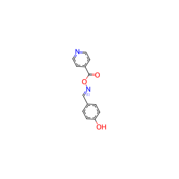 O=C(O/N=C/c1ccc(O)cc1)c1ccncc1